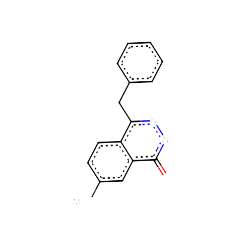 COc1ccc2c(Cc3ccccc3)n[nH]c(=O)c2c1